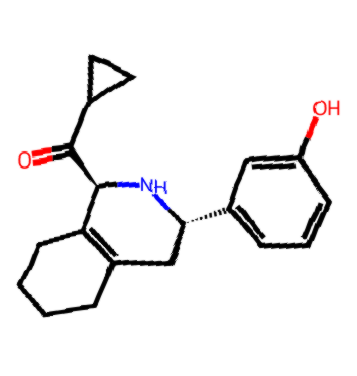 O=C(C1CC1)[C@H]1N[C@H](c2cccc(O)c2)CC2=C1CCCC2